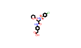 O=C(O)Cc1ccc(NC(=O)C(CNS(=O)(=O)c2ccc(Cl)cc2)COC2CCCCO2)cc1